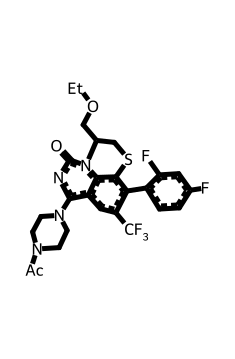 CCOCC1CSc2c(-c3ccc(F)cc3F)c(C(F)(F)F)cc3c(N4CCN(C(C)=O)CC4)nc(=O)n1c23